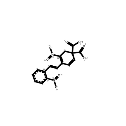 O=C(O)C1(C(=O)O)C=CC(C=Cc2ccccc2[N+](=O)[O-])=C([N+](=O)[O-])C1